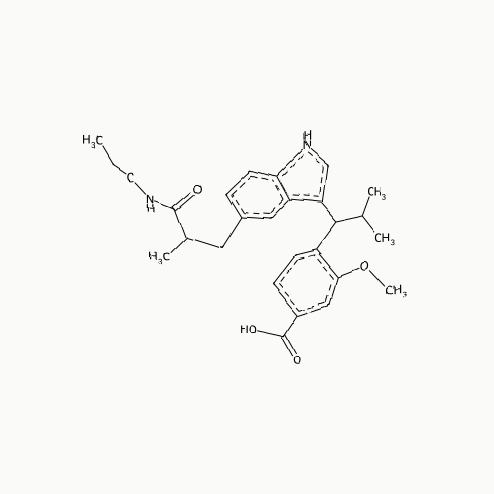 CCCNC(=O)C(C)Cc1ccc2[nH]cc(C(c3ccc(C(=O)O)cc3OC)C(C)C)c2c1